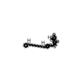 O=C1CCC(N2Cc3c(csc3COc3ccc(CNCCCCCCCCCNC4CCCCC4)cc3)C2=O)C(=O)N1